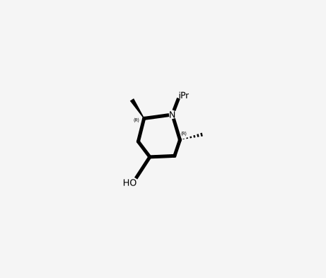 CC(C)N1[C@H](C)CC(O)C[C@H]1C